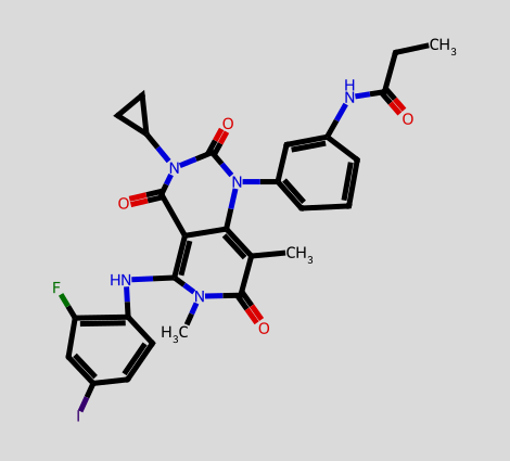 CCC(=O)Nc1cccc(-n2c(=O)n(C3CC3)c(=O)c3c(Nc4ccc(I)cc4F)n(C)c(=O)c(C)c32)c1